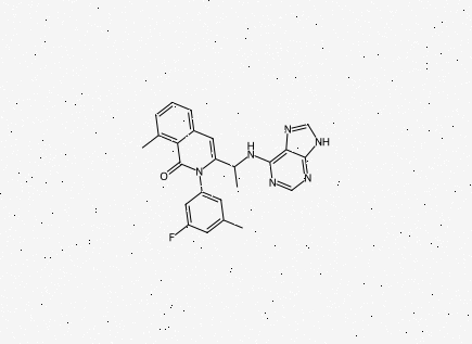 Cc1cc(F)cc(-n2c(C(C)Nc3ncnc4[nH]cnc34)cc3cccc(C)c3c2=O)c1